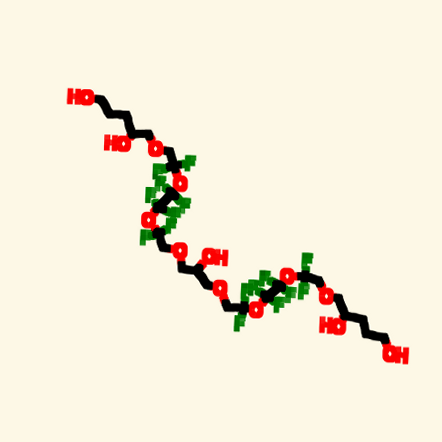 OCCCC(O)COCC(F)(F)OC(F)(F)C(F)(F)OC(F)(F)COCC(O)COCC(F)(F)OC(F)(F)C(F)(F)OC(F)(F)COCC(O)CCCO